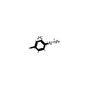 CC[CH2][Al+][c]1ccc(C)cc1.[H-]